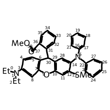 CCN(CC)c1ccc2c(c1)Oc1cc(SC)c(N(c3ccccc3)c3ccccc3)cc1C2c1ccccc1C(=O)OC